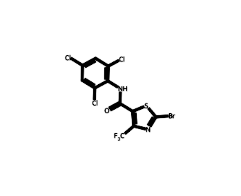 O=C(Nc1c(Cl)cc(Cl)cc1Cl)c1sc(Br)nc1C(F)(F)F